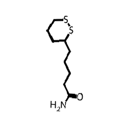 NC(=O)CCCCC1CCCSS1